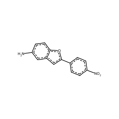 Nc1ccc2oc(-c3ccc([N+](=O)[O-])cc3)cc2c1